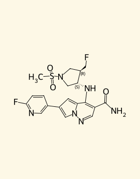 CS(=O)(=O)N1C[C@@H](CF)[C@H](Nc2c(C(N)=O)cnn3cc(-c4ccc(F)nc4)cc23)C1